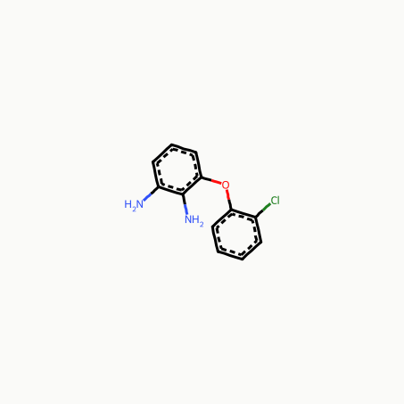 Nc1cccc(Oc2ccccc2Cl)c1N